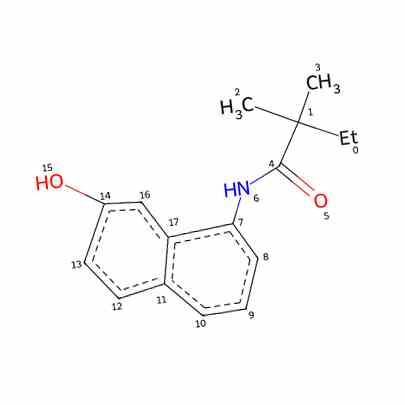 CCC(C)(C)C(=O)Nc1cccc2ccc(O)cc12